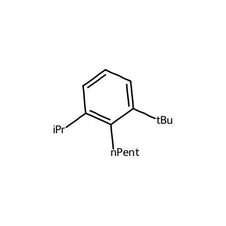 C[CH]CCCc1c(C(C)C)cccc1C(C)(C)C